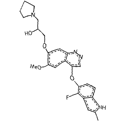 COc1cc2c(Oc3ccc4[nH]c(C)cc4c3F)cnnc2cc1OCC(O)CN1CCCC1